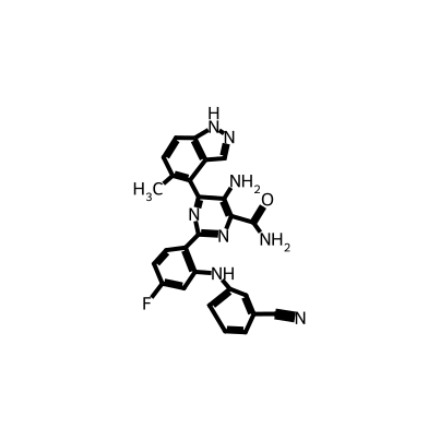 Cc1ccc2[nH]ncc2c1-c1nc(-c2ccc(F)cc2Nc2cccc(C#N)c2)nc(C(N)=O)c1N